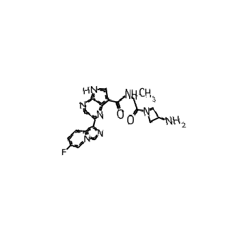 C[C@@H](NC(=O)c1c[nH]c2ncc(-c3ncn4cc(F)ccc34)nc12)C(=O)N1CC(N)C1